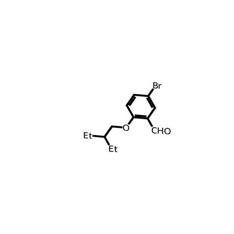 CCC(CC)COc1ccc(Br)cc1C=O